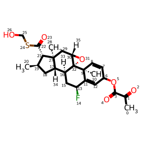 CC(=O)C(=O)OC1C=C[C@@]2(C)C(=C1)[C@@H](F)C[C@H]1[C@@H]3C[C@@H](C)[C@H](C(=O)SCO)[C@@]3(C)C[C@@H]3O[C@@]312